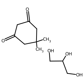 CC1(C)CC(=O)CC(=O)C1.OCC(O)CO